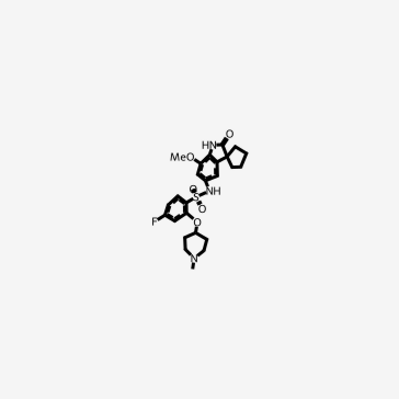 COc1cc(NS(=O)(=O)c2ccc(F)cc2OC2CCN(C)CC2)cc2c1NC(=O)C21CCCC1